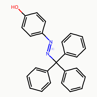 Oc1ccc(/N=N/C(c2ccccc2)(c2ccccc2)c2ccccc2)cc1